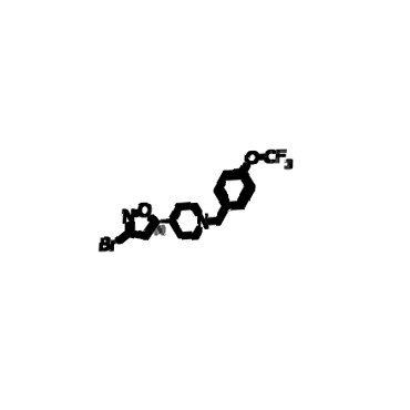 FC(F)(F)Oc1ccc(CN2CCC([C@@H]3CC(Br)=NO3)CC2)cc1